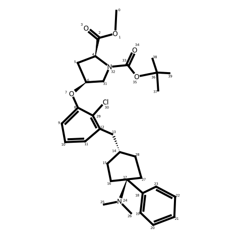 COC(=O)[C@@H]1C[C@H](Oc2cccc(C[C@H]3CC[C@](c4ccccc4)(N(C)C)CC3)c2Cl)CN1C(=O)OC(C)(C)C